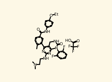 CCOc1ccc(NC(=O)c2ccc(C)c(-c3nc(NCCN(C)C)nc4c3CNC(=O)N4c3c(F)cccc3F)c2)cc1.O=C(O)C(F)(F)F